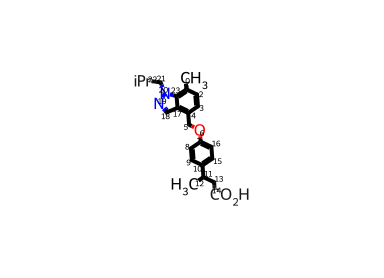 Cc1ccc(COc2ccc(C(C)CC(=O)O)cc2)c2cnn(CC(C)C)c12